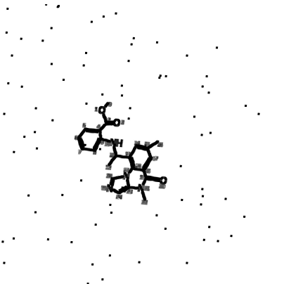 COC(=O)c1ccccc1NC(C)c1cc(C)cc2c(=O)n(C)c3cncn3c12